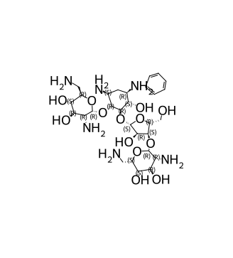 NC[C@@H]1O[C@H](O[C@H]2[C@@H](O)[C@H](O[C@@H]3[C@@H](O)[C@H](N)C[C@H](N)[C@H]3O[C@H]3O[C@H](CN)[C@@H](O)[C@H](O)[C@H]3N)O[C@@H]2CO)[C@H](N)[C@@H](O)[C@@H]1O.c1ccccc1